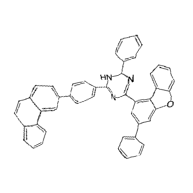 c1ccc(-c2cc(C3=NC(c4ccccc4)NC(c4ccc(-c5ccc6ccc7ccccc7c6c5)cc4)=N3)c3c(c2)oc2ccccc23)cc1